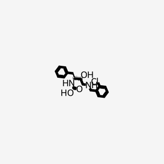 O=C(O)N[C@@H](Cc1ccccc1)[C@@H](O)CNCc1ccccc1Cl